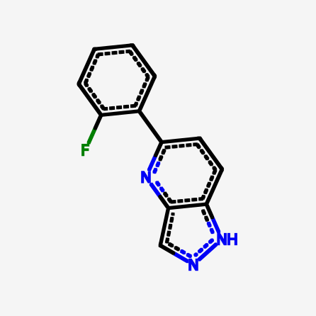 Fc1ccccc1-c1ccc2[nH]ncc2n1